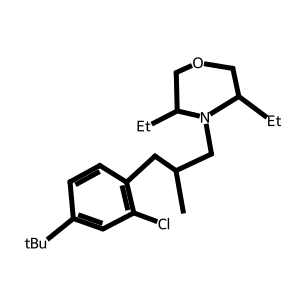 CCC1COCC(CC)N1CC(C)Cc1ccc(C(C)(C)C)cc1Cl